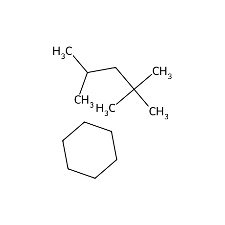 C1CCCCC1.CC(C)CC(C)(C)C